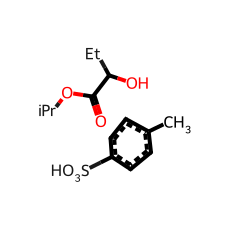 CCC(O)C(=O)OC(C)C.Cc1ccc(S(=O)(=O)O)cc1